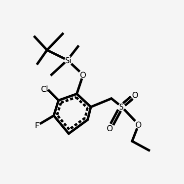 CCOS(=O)(=O)Cc1ccc(F)c(Cl)c1O[Si](C)(C)C(C)(C)C